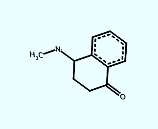 C[N]C1CCC(=O)c2ccccc21